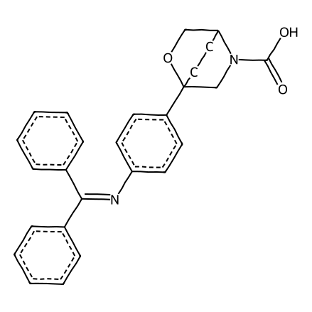 O=C(O)N1CC2(c3ccc(N=C(c4ccccc4)c4ccccc4)cc3)CCC1CO2